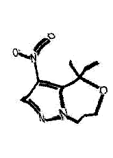 CC1(C)OCCn2ncc([N+](=O)[O-])c21